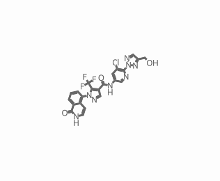 O=C(Nc1cnc(-n2ncc(CO)n2)c(Cl)c1)c1cnn(-c2cccc3c(=O)[nH]ccc23)c1C(F)(F)F